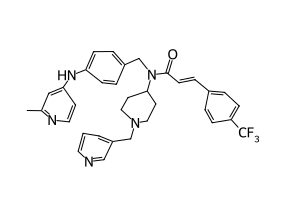 Cc1cc(Nc2ccc(CN(C(=O)C=Cc3ccc(C(F)(F)F)cc3)C3CCN(Cc4cccnc4)CC3)cc2)ccn1